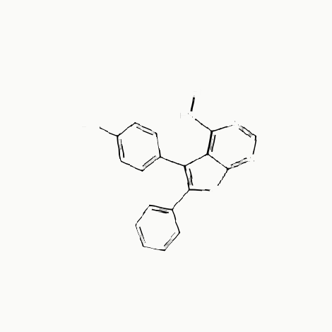 CCNc1ncnc2oc(-c3ccccc3)c(-c3ccc(C)cc3)c12